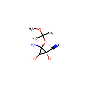 COC(C)(C)OC1(N)C(O)[C@]1(O)C#N